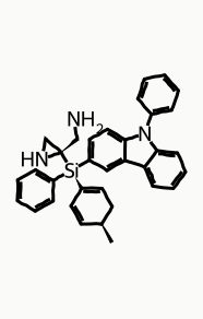 C[C@H]1C=CC([Si@](c2ccccc2)(c2ccc3c(c2)c2ccccc2n3-c2ccccc2)[C@@]2(CN)CN2)=CC1